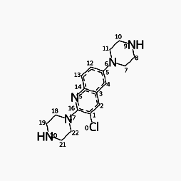 Clc1cc2cc(N3CCNCC3)ccc2nc1N1CCNCC1